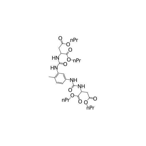 CCCOC(=O)CC(NC(=O)Nc1ccc(C)c(NC(=O)NC(CC(=O)OCCC)C(=O)OCCC)c1)C(=O)OCCC